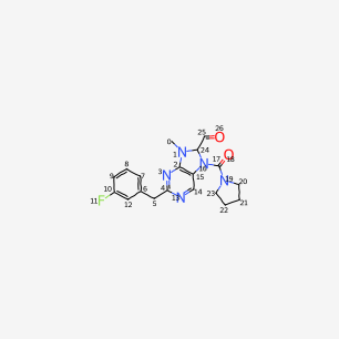 CN1c2nc(Cc3cccc(F)c3)ncc2N(C(=O)N2CCCC2)C1C=O